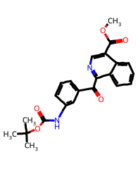 COC(=O)c1cnc(C(=O)c2cccc(NC(=O)OC(C)(C)C)c2)c2ccccc12